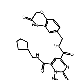 O=C1COc2ccc(CNC(=O)c3cc(C(=O)NCC4CCCC4)n4ncc(F)c4n3)cc2N1